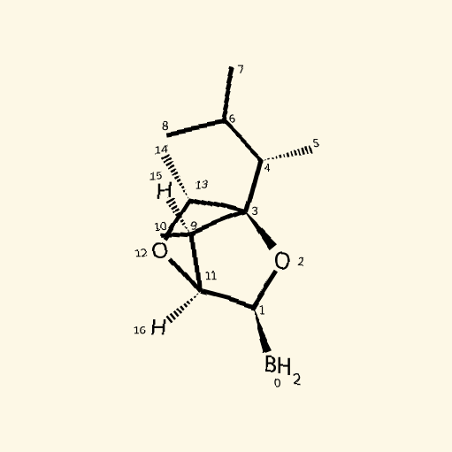 B[C@@H]1O[C@@]2([C@@H](C)C(C)C)[C@H](C)[C@@H]1O[C@@H]2C